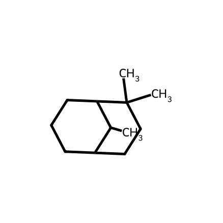 CC1C2CCCC1C(C)(C)CC2